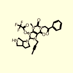 CC#CCN1c2c(n(C)c(=O)n(CC(=O)c3ccccc3)c2=O)N(OC(=O)C(F)(F)F)C1N1CCC2CNCC21